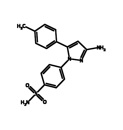 Cc1ccc(-c2cc(N)nn2-c2ccc(S(N)(=O)=O)cc2)cc1